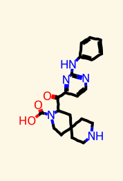 O=C(c1ccnc(Nc2ccccc2)n1)C1CC2(CCNCC2)CCN1C(=O)O